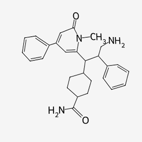 Cn1c(C(C2CCC(C(N)=O)CC2)C(CN)c2ccccc2)cc(-c2ccccc2)cc1=O